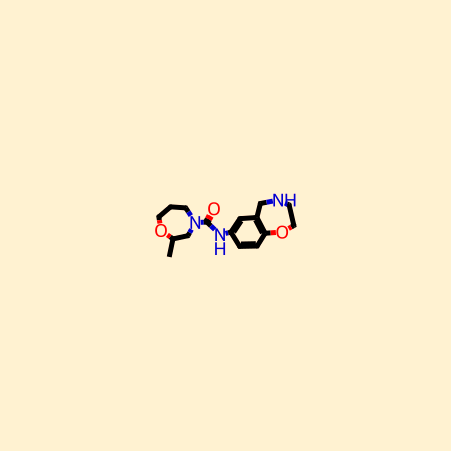 CC1CN(C(=O)Nc2ccc3c(c2)CNCCO3)CCCO1